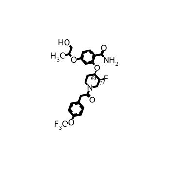 CC(CO)Oc1ccc(C(N)=O)c(O[C@@H]2CCN(C(=O)Cc3ccc(OC(F)(F)F)cc3)C[C@@H]2F)c1